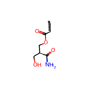 C=CC(=O)OCC(CO)C(N)=O